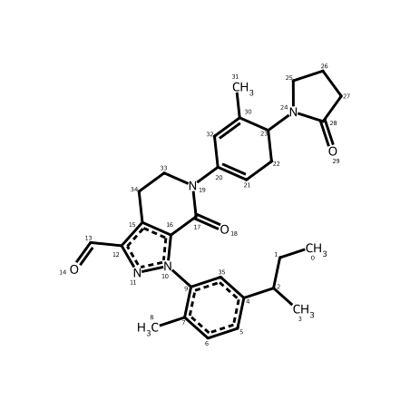 CCC(C)c1ccc(C)c(-n2nc(C=O)c3c2C(=O)N(C2=CCC(N4CCCC4=O)C(C)=C2)CC3)c1